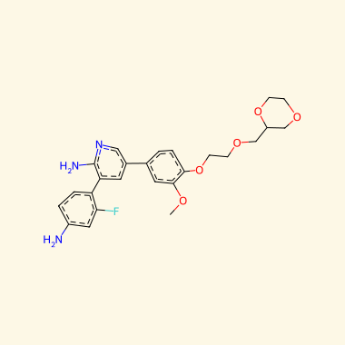 COc1cc(-c2cnc(N)c(-c3ccc(N)cc3F)c2)ccc1OCCOCC1COCCO1